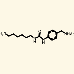 CC(=O)NCc1ccc(NC(=O)NCCCCCCN)cc1